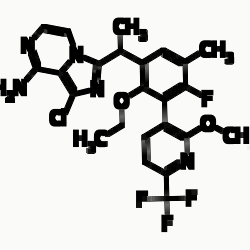 CCOc1c(C(C)c2nc(Cl)c3c(N)nccn23)cc(C)c(F)c1-c1ccc(C(F)(F)F)nc1OC